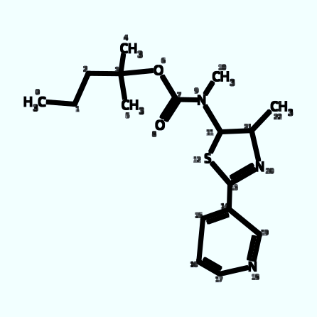 CCCC(C)(C)OC(=O)N(C)C1SC(c2cccnc2)=NC1C